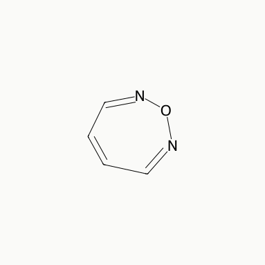 C1=CC=NON=C1